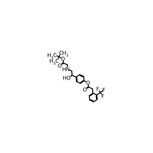 CC(C)(C)OC(=O)CNCC(O)c1ccc(OC(=O)Cc2ccccc2C(F)(F)F)cc1